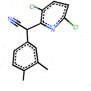 Cc1ccc(C(C#N)c2nc(Cl)ccc2Cl)cc1C